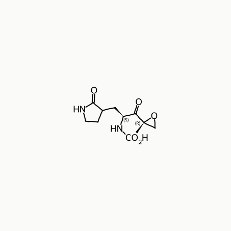 C[C@]1(C(=O)[C@H](CC2CCNC2=O)NC(=O)O)CO1